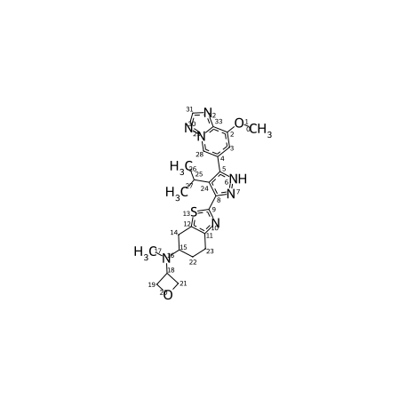 COc1cc(-c2[nH]nc(-c3nc4c(s3)CC(N(C)C3COC3)CC4)c2C(C)C)cn2ncnc12